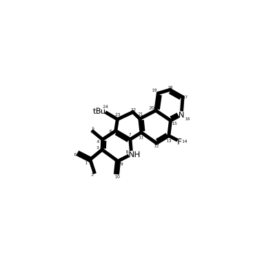 C=C(C)C1=C(C)C2=C(NC1=C)c1cc(F)c3ncccc3c1CC2C(C)(C)C